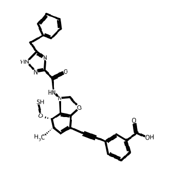 C[C@H]1C=C(C#Cc2cccc(C(=O)O)c2)C2=C([C@H]1OS)N(NC(=O)c1n[nH]c(Cc3ccccc3)n1)CO2